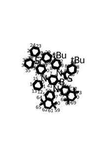 CC(C)(C)c1ccc(N2c3cc(N(c4ccccc4)c4ccc([Si](c5ccccc5)(c5ccccc5)c5ccccc5)cc4)cc4c3B(c3cc5c(cc3N4c3ccc4c(c3)C(C)(C)CCC4(C)C)C(C)(C)CCC5(C)C)c3sc4ccc(C(C)(C)C)cc4c32)cc1